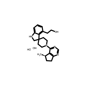 C[C@@H]1CCc2ncnc(N3CCC4(CC3)CNc3cccc(CCO)c34)c21.Cl.Cl